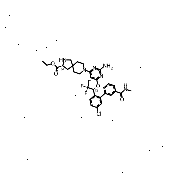 CCOC(=O)[C@@H]1CC2(CCN(c3cc(O[C@H](c4ccc(Cl)cc4-c4cccc(C(=O)NC)c4)C(F)(F)F)nc(N)n3)CC2)CN1